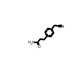 N#C[CH]c1ccc(CCC(N)=O)cc1